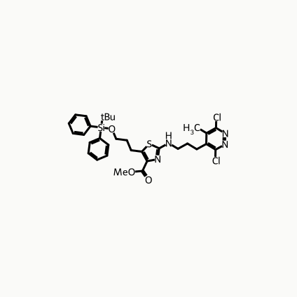 COC(=O)c1nc(NCCCc2c(Cl)nnc(Cl)c2C)sc1CCCO[Si](c1ccccc1)(c1ccccc1)C(C)(C)C